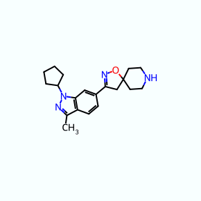 Cc1nn(C2CCCC2)c2cc(C3=NOC4(CCNCC4)C3)ccc12